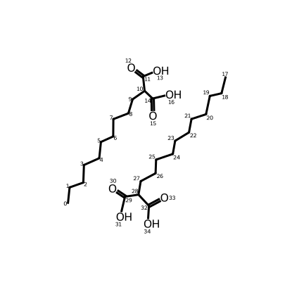 CCCCCCCCCCC(C(=O)O)C(=O)O.CCCCCCCCCCCC(C(=O)O)C(=O)O